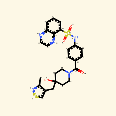 Cc1nscc1CC1(O)CCN(C(=O)c2ccc(NS(=O)(=O)c3cccc4nccnc34)cc2)CC1